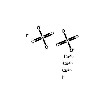 O=S(=O)([O-])[O-].O=S(=O)([O-])[O-].[Cu+2].[Cu+2].[Cu+2].[I-].[I-]